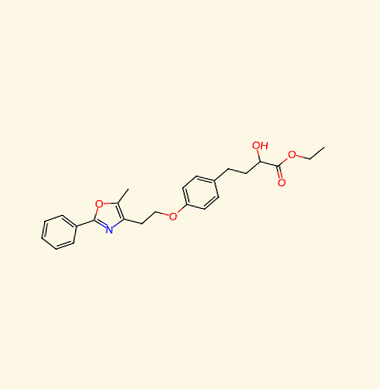 CCOC(=O)C(O)CCc1ccc(OCCc2nc(-c3ccccc3)oc2C)cc1